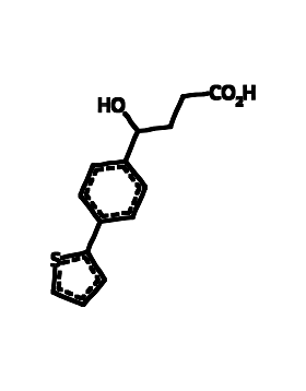 O=C(O)CCC(O)c1ccc(-c2cccs2)cc1